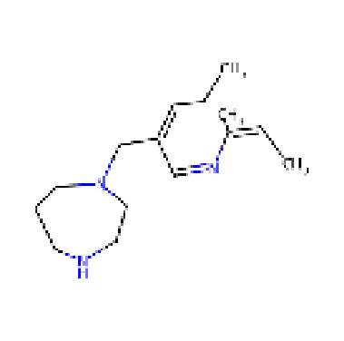 C\C=C(C)/N=C\C(=C/CC)CN1CCCNCC1